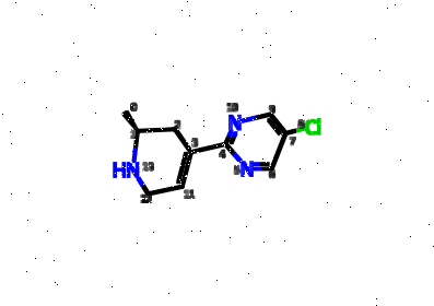 C[C@H]1CC(c2ncc(Cl)cn2)=CCN1